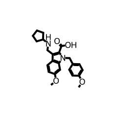 COc1ccc(Cn2c(C(=O)O)c(CNC3CCCC3)c3ccc(OC)cc32)cc1